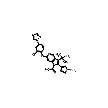 Cn1cc(-c2c(C(C)(C)C)c3cnc(Nc4ccc(-n5cncn5)cc4Cl)cc3n2C(=O)O)cn1